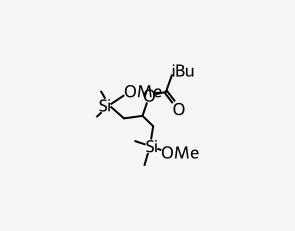 CCC(C)C(=O)OC(C[Si](C)(C)OC)C[Si](C)(C)OC